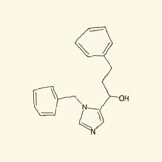 OC(CCc1ccccc1)c1cncn1Cc1ccccc1